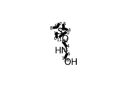 CCS(C(C)C)(C(C)C)C(C)(C)OCCNCCO